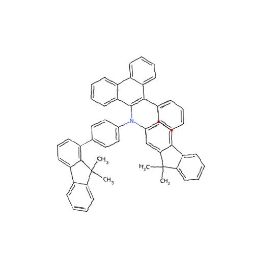 CC1(C)c2ccccc2-c2ccc(N(c3ccc(-c4cccc5c4C(C)(C)c4ccccc4-5)cc3)c3c(-c4ccccc4)c4ccccc4c4ccccc34)cc21